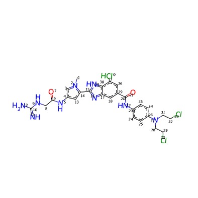 Cl.Cn1cc(NC(=O)CNC(=N)N)cc1-c1nc2cc(C(=O)Nc3ccc(N(CCCl)CCCl)cc3)ccc2[nH]1